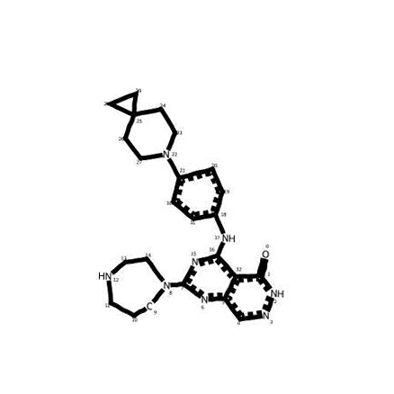 O=c1[nH]ncc2nc(N3CCCNCC3)nc(Nc3ccc(N4CCC5(CC4)CC5)cc3)c12